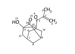 C=C(C)C(=O)C12CC3CC(CC(O)(C3)C1=O)C2